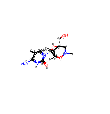 COC1[C@@H]2ON(C)C[C@]1(CO)O[C@H]2n1cc(C)c(N)nc1=O